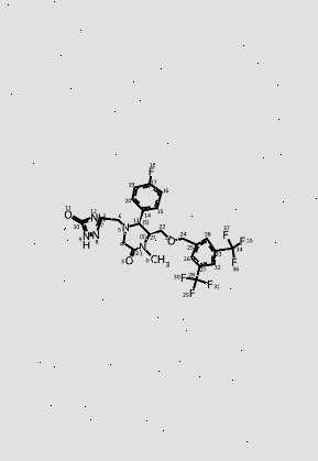 CN1C(=O)CN(Cc2n[nH]c(=O)[nH]2)[C@@H](c2ccc(F)cc2)[C@H]1COCc1cc(C(F)(F)F)cc(C(F)(F)F)c1